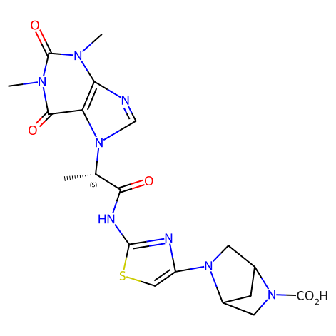 C[C@@H](C(=O)Nc1nc(N2CC3CC2CN3C(=O)O)cs1)n1cnc2c1c(=O)n(C)c(=O)n2C